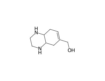 OCC1=CCC2NCCNC2C1